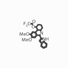 COc1cc2c(cc1OC)C1C(CCCC1OC(=O)C(F)(F)F)N=C2c1cc2ccccc2[nH]1